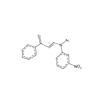 CC(=O)N(/C=C/C(=O)c1ccccc1)c1cccc([N+](=O)[O-])c1